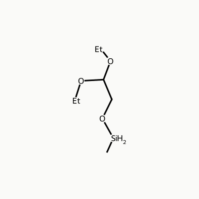 CCOC(CO[SiH2]C)OCC